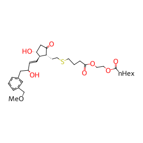 CCCCCCC(=O)OCCOC(=O)CCCSCC[C@H]1C(=O)C[C@@H](O)[C@@H]1C=C[C@@H](O)Cc1cccc(COC)c1